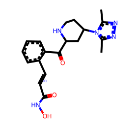 Cc1nnc(C)n1C1CCNC(C(=O)c2ccccc2/C=C/C(=O)NO)C1